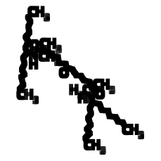 CCCCCCCCC(CCCCCCCC)NC(=O)C(C)(C)CCCCCC(=O)CCCCCC(C)(C)C(=O)NC(CCCCCCCC)CCCCCCCC